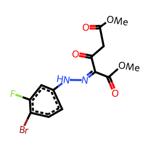 COC(=O)CC(=O)/C(=N\Nc1ccc(Br)c(F)c1)C(=O)OC